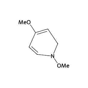 COC1=CCN(OC)C=C1